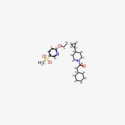 CS(=O)(=O)c1ccc(OCC[C@@H]2CC2C2CCN(C(=O)CC3CCCCC3)CC2)nc1